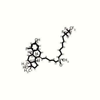 C[C@]1(O)CC[C@H]2[C@@H]3[C@H](CCCCC[N+](C)([O-])CCCCCCCC(F)(F)C(F)(F)C(F)(F)F)Cc4cc(O)cc(F)c4[C@H]3CC[C@@]21C